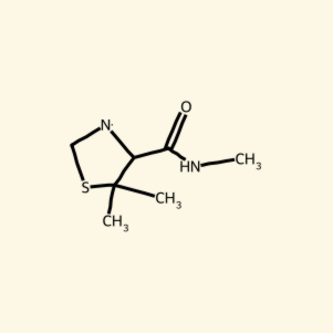 CNC(=O)C1[N]CSC1(C)C